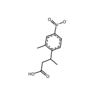 Cc1cc([N+](=O)[O-])ccc1C(C)CC(=O)O